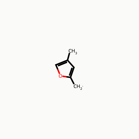 [CH2]c1cc(C)co1